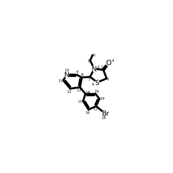 CCN1C(=O)CSC1c1cnccc1-c1ccc(Br)cc1